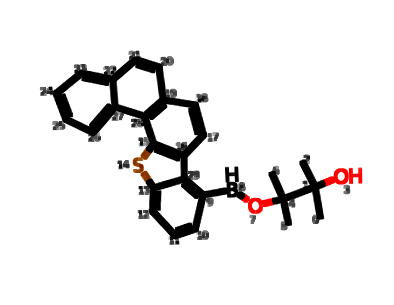 CC(C)(O)C(C)(C)OBc1cccc2sc3c(ccc4ccc5ccccc5c43)c12